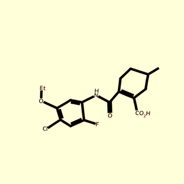 CCOc1cc(NC(=O)C2=C(C(=O)O)CC(C)CC2)c(F)cc1Cl